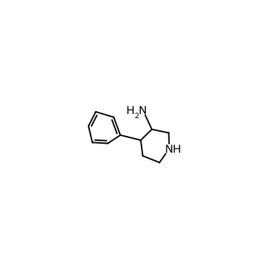 NC1CNCCC1c1ccccc1